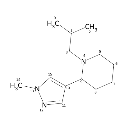 CC(C)CN1CCCCC1c1cnn(C)c1